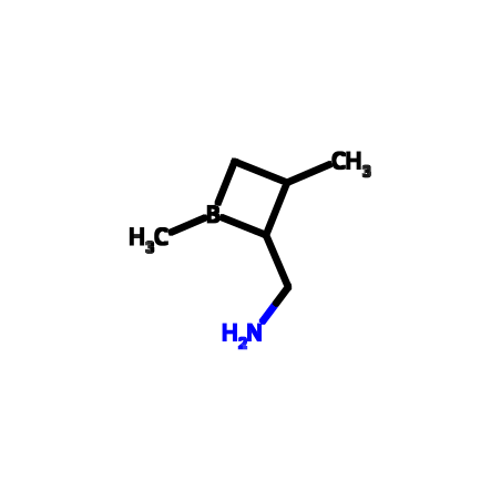 CB1CC(C)C1CN